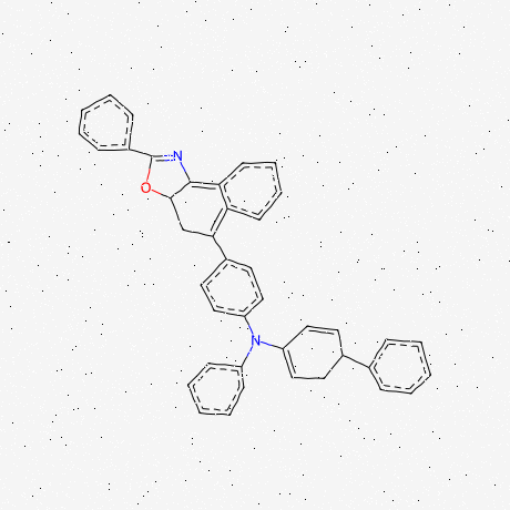 C1=CC(c2ccccc2)CC=C1N(c1ccccc1)c1ccc(C2=c3ccccc3=C3N=C(c4ccccc4)OC3C2)cc1